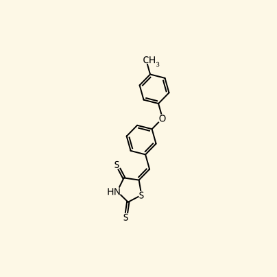 Cc1ccc(Oc2cccc(/C=C3/SC(=S)NC3=S)c2)cc1